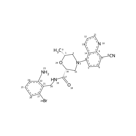 C[C@@H]1CN(c2ccc(C#N)c3ncccc23)C[C@H](C(=O)NCc2c(N)cccc2Br)O1